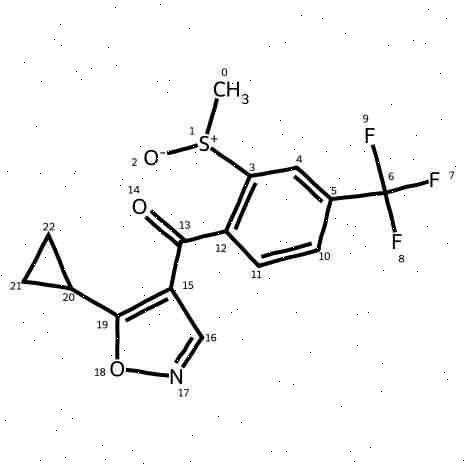 C[S+]([O-])c1cc(C(F)(F)F)ccc1C(=O)c1cnoc1C1CC1